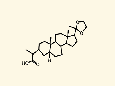 CC(C(=O)O)[C@H]1CC[C@]2(C)C3CC[C@@]4(C)C(CC[C@@H]4C4(C)OCCO4)C3CC[C@@H]2C1